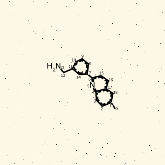 Cc1ccc2nc(-c3cccc(CN)c3)ccc2c1